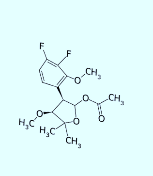 COc1c([C@H]2C(OC(C)=O)OC(C)(C)[C@H]2OC)ccc(F)c1F